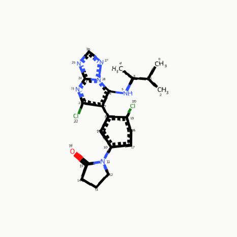 CC(C)C(C)Nc1c(-c2cc(N3CCCC3=O)ccc2Cl)c(Cl)nc2ncnn12